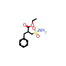 CCOC(=O)C(Cc1ccccc1)CS(N)(=O)=O